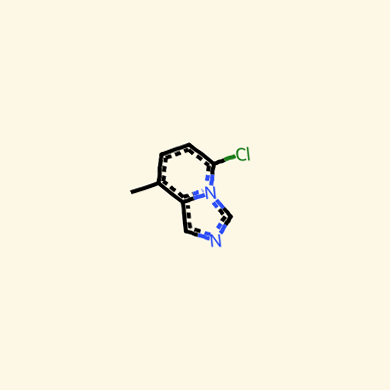 Cc1ccc(Cl)n2cncc12